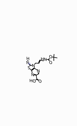 [H]/N=c1/sc2nc(C(=O)O)cnc2n1CC=CCNC(=O)OC(C)(C)C